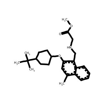 COC(=O)CNCc1c(OC2CCC(C(C)(C)C)CC2)cc(C)c2ccccc12